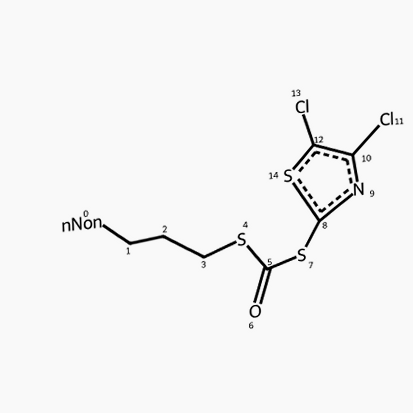 CCCCCCCCCCCCSC(=O)Sc1nc(Cl)c(Cl)s1